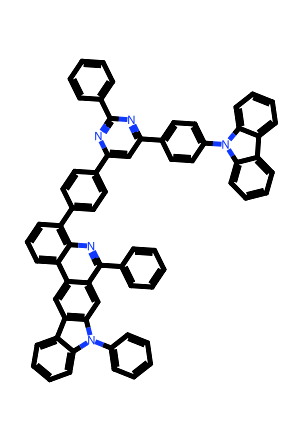 c1ccc(-c2nc(-c3ccc(-c4cccc5c4nc(-c4ccccc4)c4cc6c(cc45)c4ccccc4n6-c4ccccc4)cc3)cc(-c3ccc(-n4c5ccccc5c5ccccc54)cc3)n2)cc1